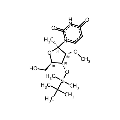 CO[C@@H]1[C@H](O[Si](C)(C)C(C)(C)C)[C@@H](CO)O[C@@]1(C)n1ccc(=O)[nH]c1=O